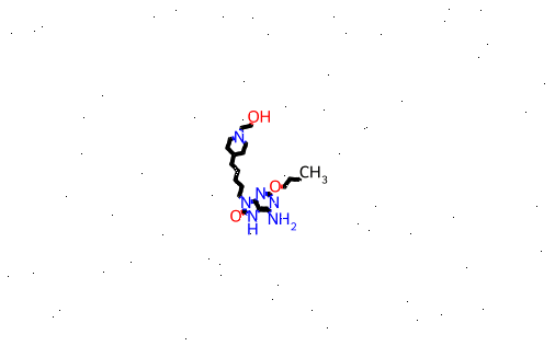 CCCCOc1nc(N)c2[nH]c(=O)n(CCCCCC3CCN(CCO)CC3)c2n1